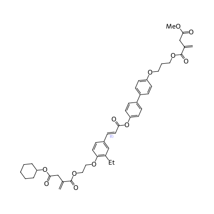 C=C(CC(=O)OC)C(=O)OCCCOc1ccc(-c2ccc(OC(=O)/C=C/c3ccc(OCCOC(=O)C(=C)CC(=O)OC4CCCCC4)c(CC)c3)cc2)cc1